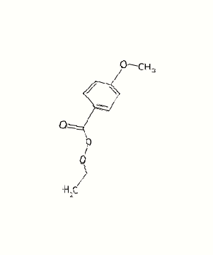 [CH2]COOC(=O)c1ccc(OC)cc1